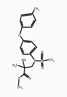 COC(=O)C(C)(O)CN(c1ccc(Oc2ccc(C)cc2)cc1)S(C)(=O)=O